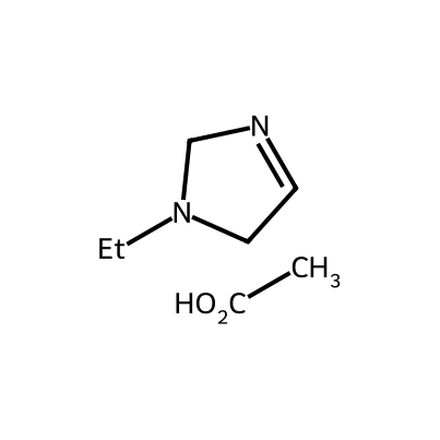 CC(=O)O.CCN1CC=NC1